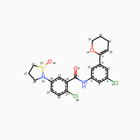 O=C(Nc1cc(Cl)cc(C2=CCCCO2)c1)c1cc(N2CCC[S+]2[O-])ccc1Cl